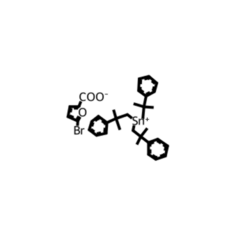 CC(C)([CH2][Sn+]([CH2]C(C)(C)c1ccccc1)[CH2]C(C)(C)c1ccccc1)c1ccccc1.O=C([O-])c1ccc(Br)o1